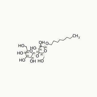 CCCCCCCCO[C@@H]1O[C@H](CO)[C@@H](O[C@H]2O[C@H](CO)[C@@H](O)[C@H](O)[C@H]2O)[C@H](O)[C@H]1O